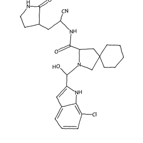 N#CC(CC1CCNC1=O)NC(=O)C1CC2(CCCCC2)CN1C(O)c1cc2cccc(Cl)c2[nH]1